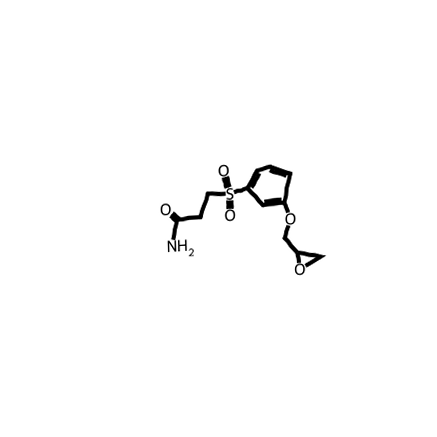 NC(=O)CCS(=O)(=O)c1cccc(OCC2CO2)c1